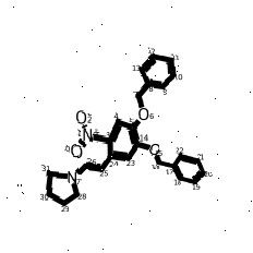 O=[N+]([O-])c1cc(OCc2ccccc2)c(OCc2ccccc2)cc1C=CN1CCCC1